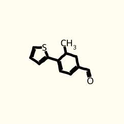 CC1CC(C=O)=CC=C1c1cccs1